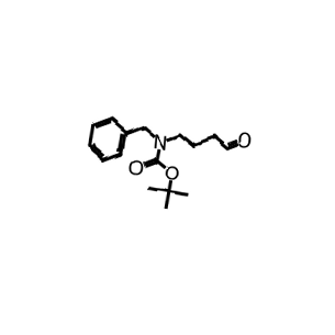 CC(C)(C)OC(=O)N(CCCC=O)Cc1ccccc1